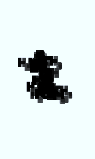 CC(C)c1ccc(S(=O)(=O)N[C@@H](Cc2ccc(C(C)O[C]=O)c(NC(=N)N)c2)C(=O)O)c(C(C)C)c1C(C)C